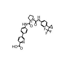 O=C(O)c1ccc(-c2ccc(NC(=O)[C@H]3CCCN3C(=O)Nc3ccc(C4(C(F)(F)F)CC4)cc3)cc2)cn1